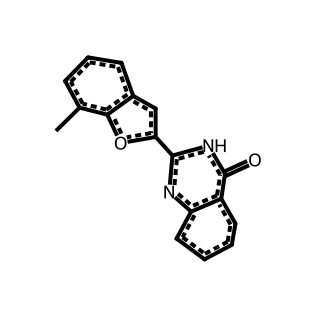 Cc1cccc2cc(-c3nc4ccccc4c(=O)[nH]3)oc12